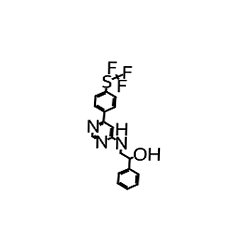 OC(CNc1cc(-c2ccc(SC(F)(F)F)cc2)ncn1)c1ccccc1